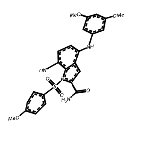 COc1ccc(S(=O)(=O)n2c(C(N)=O)cc3c(Nc4cc(OC)cc(OC)c4)ccc(N=O)c32)cc1